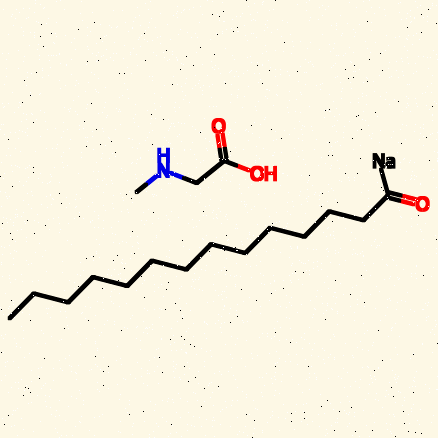 CCCCCCCCCCCCC[C](=O)[Na].CNCC(=O)O